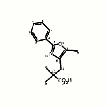 Cc1oc(-c2ccccc2)nc1CC(C)(C)C(=O)O